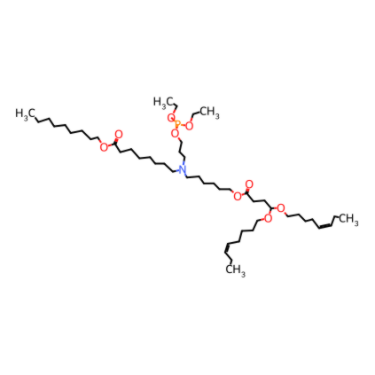 CC/C=C\CCCCOC(CCC(=O)OCCCCCCN(CCCCCCCC(=O)OCCCCCCCCC)CCCOP(OCC)OCC)OCCCC/C=C\CC